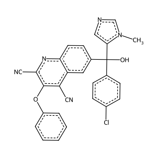 Cn1cncc1C(O)(c1ccc(Cl)cc1)c1ccc2nc(C#N)c(Oc3ccccc3)c(C#N)c2c1